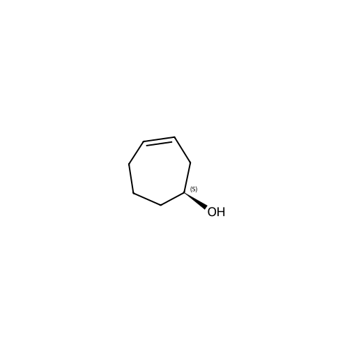 O[C@@H]1CC=CCCC1